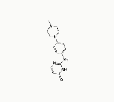 CN1CCN(c2ccc(Nc3nccc(=O)[nH]3)cc2)CC1